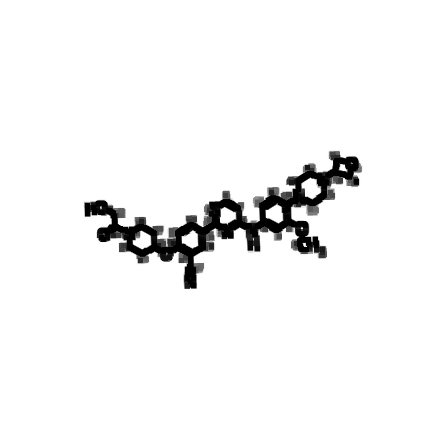 COc1cc(Nc2ccnc(-c3ccc(OC4CCN(C(=O)CO)CC4)c(C#N)c3)n2)ccc1N1CCN(C2COC2)CC1